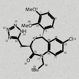 COc1cccc([C@H]2S[C@H](Cc3nnn[nH]3)C(=O)N(CC(C)(C)C)c3ccc(Cl)cc32)c1OC